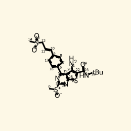 C[S+]([O-])c1nc(-c2ccc(/C=C/CS(C)(=O)=O)cc2)c2c(N)c(C(=O)NC(C)(C)C)sc2n1